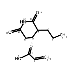 C=CC(=O)O.CCCC1CCC(=O)NC1=O